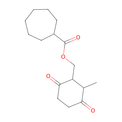 CC1C(=O)CCC(=O)C1COC(=O)C1CCCCCC1